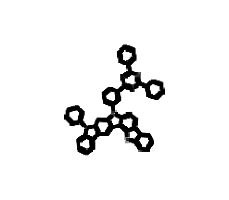 c1ccc(-c2nc(-c3ccccc3)nc(-c3cccc(-n4c5cc6c(cc5c5c7sc8ccccc8c7ccc54)c4ccccc4n6-c4ccccc4)c3)n2)cc1